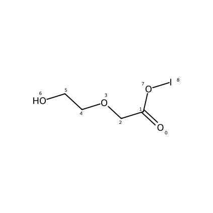 O=C(COCCO)OI